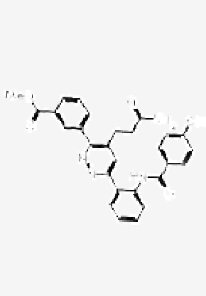 COC(=O)c1cccc(-c2nnc(-c3ccccc3NC(=O)c3ccc(O)cc3)cc2CCC(N)=O)c1